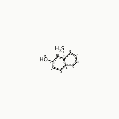 Oc1ccc2ccccc2c1.S